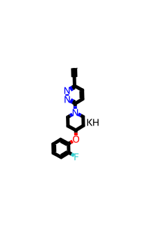 [C]#Cc1ccc(N2CCC(Oc3ccccc3F)CC2)nn1.[KH]